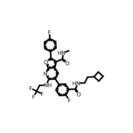 CNC(=O)c1c(-c2ccc(F)cc2)oc2nc(NCC(F)(F)F)c(-c3ccc(F)c(C(=O)NCCC4CCC4)c3)cc12